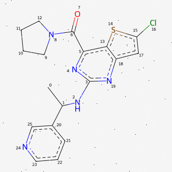 CC(Nc1nc(C(=O)N2CCCC2)c2sc(Cl)cc2n1)c1cccnc1